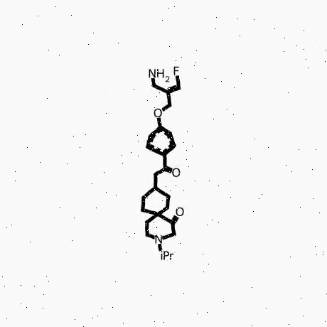 CC(C)N1CCC2(CCC(CC(=O)c3ccc(OC/C(=C/F)CN)cc3)CC2)C(=O)C1